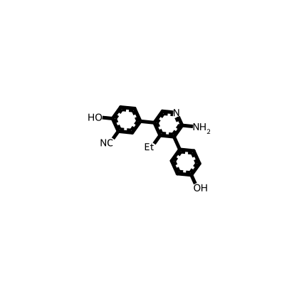 CCc1c(-c2ccc(O)c(C#N)c2)cnc(N)c1-c1ccc(O)cc1